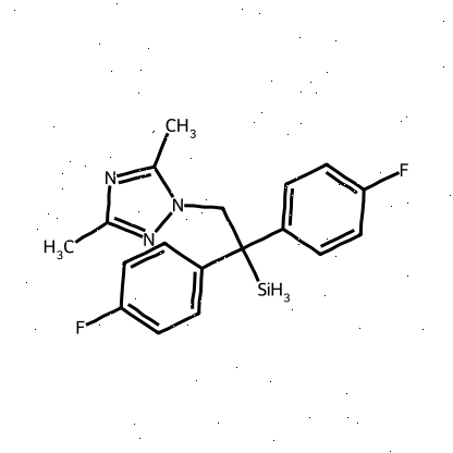 Cc1nc(C)n(CC([SiH3])(c2ccc(F)cc2)c2ccc(F)cc2)n1